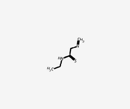 C=NCC(=S)NCC